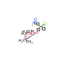 CN(C)C(=O)/C=C/CN(CCOc1ccc(/C(=C(/CC(F)(F)F)c2ccccc2)c2ccc3[nH]nc(F)c3c2)cc1)C(=O)OC(C)(C)C